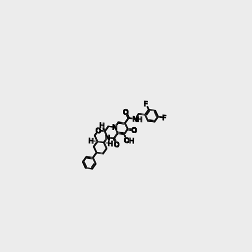 O=C(NCc1ccc(F)cc1F)c1cn2c(c(O)c1=O)C(=O)N1[C@@H](C2)OC[C@@H]2CC(c3ccccc3)CC[C@@H]21